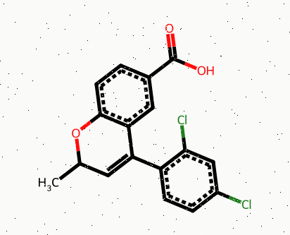 CC1C=C(c2ccc(Cl)cc2Cl)c2cc(C(=O)O)ccc2O1